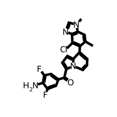 Cc1cc2c(ncn2C)c(Cl)c1-c1cccn2c(C(=O)c3cc(F)c(N)c(F)c3)ccc12